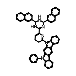 C1=C(C2=NC(c3ccc4ccccc4c3)NC(c3ccc4ccccc4c3)N2)N=C(n2c3ccccc3c3cc4c5ccccc5n(-c5ccccc5)c4cc32)CC1